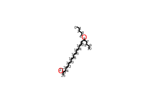 CCCCCOC(CCCC)CCCCCCCCCCCCCCC(C)=O